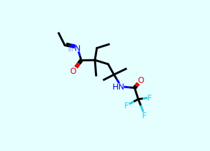 C/C=N/C(=O)C(C)(CC)CC(C)(C)NC(=O)C(F)(F)F